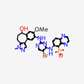 COc1cc2c(cc1Nc1ncc(Br)c(Nc3ccc4nccnc4c3P(C)(C)=O)n1)-c1cnn(C)c1CCC2O